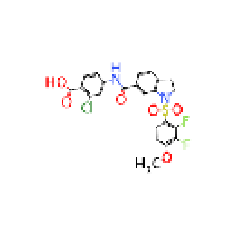 COc1ccc(S(=O)(=O)N2CCc3ccc(C(=O)Nc4ccc(C(=O)O)c(Cl)c4)cc32)c(F)c1F